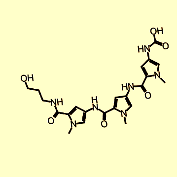 Cn1cc(NC(=O)c2cc(NC(=O)c3cc(NC(=O)O)cn3C)cn2C)cc1C(=O)NCCCO